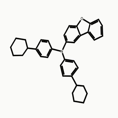 c1ccc2c(c1)oc1ccc(N(c3ccc(C4CCCCC4)cc3)c3ccc(C4CCCCC4)cc3)cc12